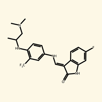 CC(CN(C)C)Nc1ccc(N/C=C2/C(=O)Nc3cc(F)ccc32)cc1C(F)(F)F